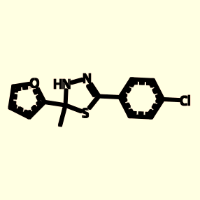 CC1(c2ccco2)NN=C(c2ccc(Cl)cc2)S1